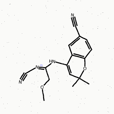 COC/C(=N\C#N)NC1=CC(C)(C)Oc2ccc(C#N)cc21